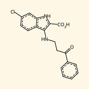 O=C(CCNc1c(C(=O)O)[nH]c2cc(Cl)ccc12)c1ccccc1